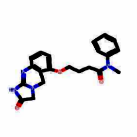 CN(C(=O)CCCOc1cccc2c1CN1CC(=O)NC1=N2)c1ccccc1